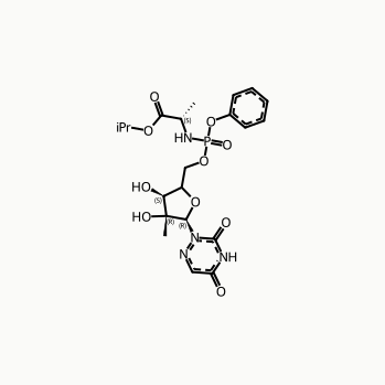 CC(C)OC(=O)[C@H](C)NP(=O)(OCC1O[C@@H](n2ncc(=O)[nH]c2=O)[C@](C)(O)[C@H]1O)Oc1ccccc1